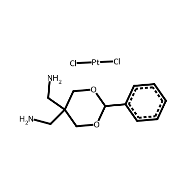 NCC1(CN)COC(c2ccccc2)OC1.[Cl][Pt][Cl]